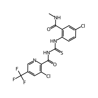 CNC(=O)c1cc(Cl)ccc1NC(=S)NC(=O)c1ncc(C(F)(F)F)cc1Cl